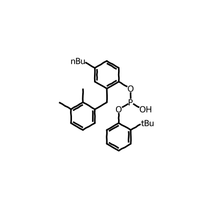 CCCCc1ccc(OP(O)Oc2ccccc2C(C)(C)C)c(Cc2cccc(C)c2C)c1